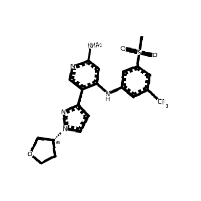 CC(=O)Nc1cc(Nc2cc(C(F)(F)F)cc(S(C)(=O)=O)c2)c(-c2ccn([C@@H]3CCOC3)n2)cn1